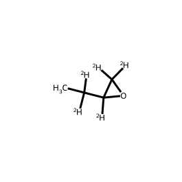 [2H]C([2H])(C)C1([2H])OC1([2H])[2H]